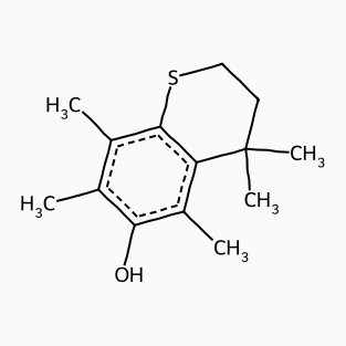 Cc1c(C)c2c(c(C)c1O)C(C)(C)CCS2